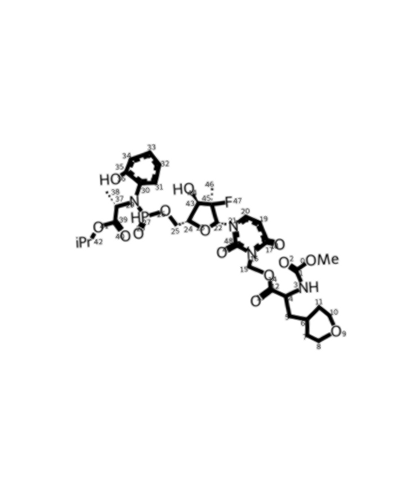 COC(=O)NC(CC1CCOCC1)C(=O)OCn1c(=O)ccn([C@@H]2O[C@H](CO[PH](=O)N(c3ccccc3O)[C@@H](C)C(=O)OC(C)C)[C@@H](O)[C@@]2(C)F)c1=O